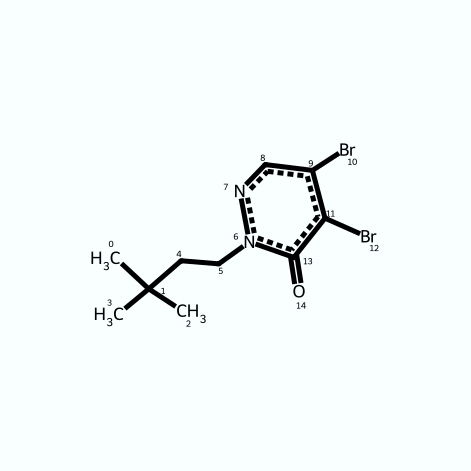 CC(C)(C)CCn1ncc(Br)c(Br)c1=O